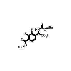 CC(C)(C)OC(=O)NC(C(=O)O)c1ccc(C(=O)OC(C)(C)C)c(F)c1F